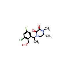 CC(c1cc(F)cc(Cl)c1CO)N1C[C@@H](C)N(C)C(=O)C1=O